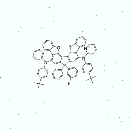 CC(C)(C)c1ccc(N(c2ccccc2)c2cc3c(c4oc5ccccc5c24)-c2c(cc(N(c4ccc(C(C)(C)C)cc4)c4ccccn4)c4c2sc2ccccc24)C3(c2ccccc2)c2cccc(F)c2)cc1